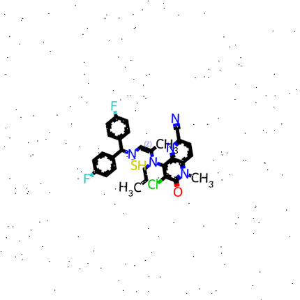 CCCN(/C(C)=C\N(S)C(c1ccc(F)cc1)c1ccc(F)cc1)c1c(Cl)c(=O)n(C)c2ccc(C#N)nc12